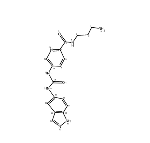 NCCCNC(=O)c1ccc(NC(=O)Nc2ccc3[nH]ncc3c2)cn1